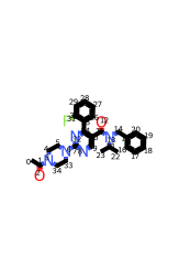 CC(=O)N1CCN(c2ncc(C(=O)N(Cc3ccccc3)C(C)C)c(-c3ccccc3F)n2)CC1